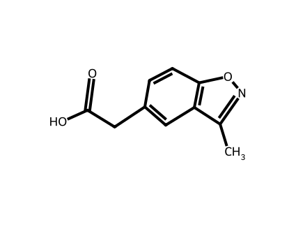 Cc1noc2ccc(CC(=O)O)cc12